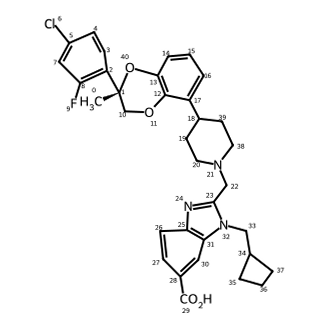 C[C@]1(c2ccc(Cl)cc2F)COc2c(cccc2C2CCN(Cc3nc4ccc(C(=O)O)cc4n3CC3CCC3)CC2)O1